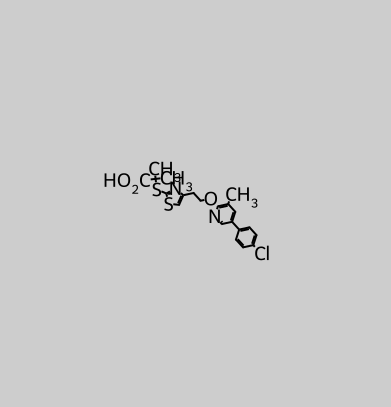 Cc1cc(-c2ccc(Cl)cc2)cnc1OCCc1csc(SC(C)(C)C(=O)O)n1